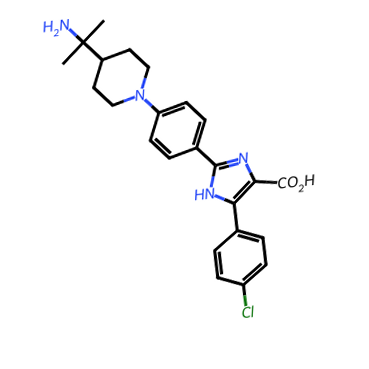 CC(C)(N)C1CCN(c2ccc(-c3nc(C(=O)O)c(-c4ccc(Cl)cc4)[nH]3)cc2)CC1